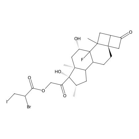 C[C@H]1CC2C3CC[C@]45CC(=O)C4CC5(C)C3(F)[C@@H](O)C[C@]2(C)[C@]1(O)C(=O)COC(=O)C(Br)CI